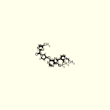 CCn1ncc(-c2nc3c(OC4CCN(C(=O)c5nnc(C)o5)C4)ncnc3n2C)c1C